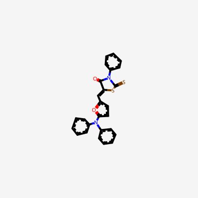 O=C1/C(=C/c2ccc(N(c3ccccc3)c3ccccc3)o2)SC(=S)N1c1ccccc1